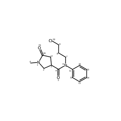 CN1CC(C(=O)N(CCCCl)c2ccccc2)CC1=O